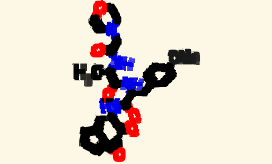 COc1ccc(C[C@H](NC(=O)[C@H](C)NC(=O)CN2CCOCC2)C(=O)N[C@@H](CC2CCCC2)C(=O)[C@H]2CO2)cc1